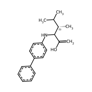 C=C(O)C(Nc1ccc(-c2ccccc2)cc1)[C@@H](C)C(C)C